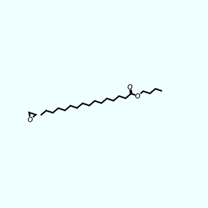 C1CO1.CCCCCCCCCCCCCCCC(=O)OCCCC